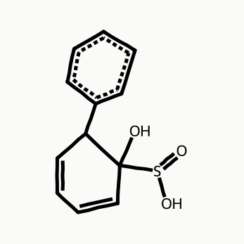 O=S(O)C1(O)C=CC=CC1c1ccccc1